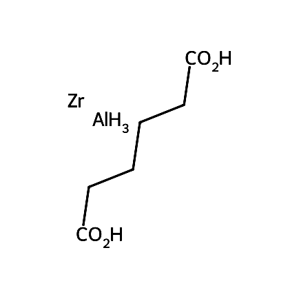 O=C(O)CCCCC(=O)O.[AlH3].[Zr]